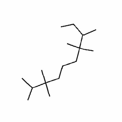 CCC(C)C(C)(C)CCCC(C)(C)C(C)C